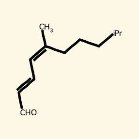 CC(=C/C=C/C=O)CCCC(C)C